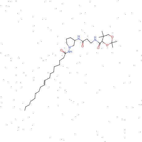 CCCCCCCCC=CCCCCCCCC(=O)NN1CCCC(NC(=O)CCNC(=O)C2OC(C)(C)OCC2(C)C)C1